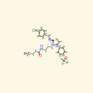 CCCC(=O)NCCCn1c(-c2ccc(OC(F)(F)F)cc2)cs/c1=N\Cc1ccc(Cl)cc1